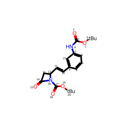 CC(C)(C)OC(=O)Nc1cccc(C=CC2CC(=O)N2C(=O)OC(C)(C)C)c1